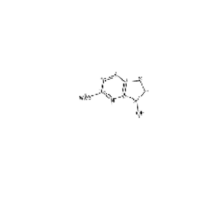 CSc1ccc2c(n1)C(O)CC2